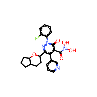 O=C(c1c(-c2cccnc2)c(C2CCC3CCCC3O2)nn(-c2ccccc2F)c1=O)N(O)O